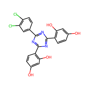 Oc1ccc(-c2nc(-c3ccc(Cl)c(Cl)c3)nc(-c3ccc(O)cc3O)n2)c(O)c1